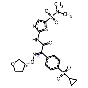 CN(C)S(=O)(=O)c1cnc(NC(=O)/C(=N/O[C@@H]2CCOC2)c2ccc(S(=O)(=O)C3CC3)cc2)s1